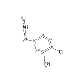 [N-]=[N+]=Nc1ccc(Cl)c(O)c1